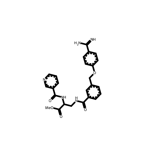 COC(=O)C(CNC(=O)c1cccc(COc2ccc(C(=N)N)cc2)c1)NC(=O)c1cccnc1